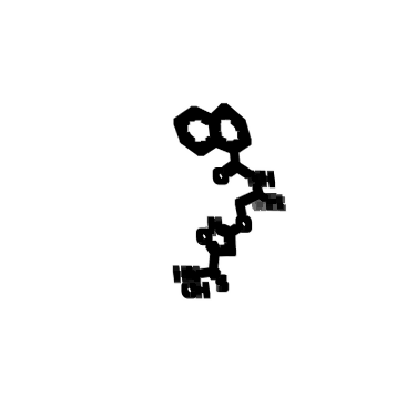 CC[C@@H](COc1cc(C(=S)NO)on1)NC(=O)c1cccc2ccccc12